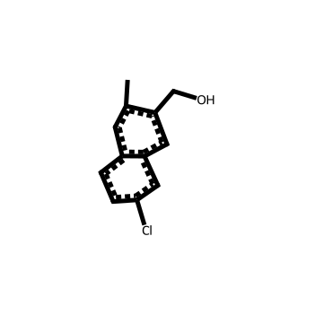 Cc1cc2ccc(Cl)cc2cc1CO